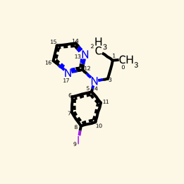 CC(C)CN(c1ccc(I)cc1)c1ncccn1